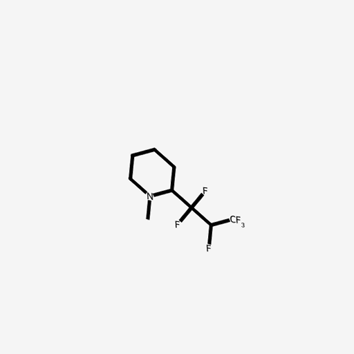 CN1CCCCC1C(F)(F)C(F)C(F)(F)F